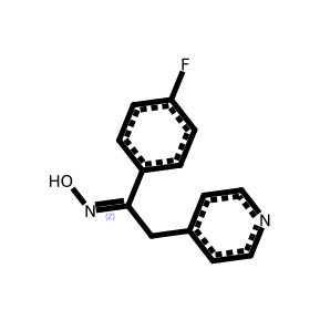 O/N=C(/Cc1ccncc1)c1ccc(F)cc1